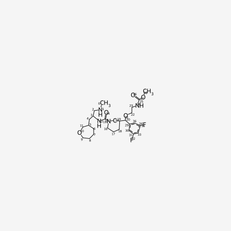 CNCC(CC1CCCCOC1)NC(=O)N1CCCC(C(OCCNC(=O)OC)c2cc(F)cc(F)c2)C1